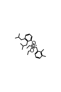 CCO[N+](CC)(Cc1cccc(C)c1C)Oc1cccc(CC(C)C)c1CC(C)C